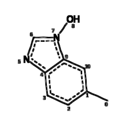 Cc1ccc2ncn(O)c2c1